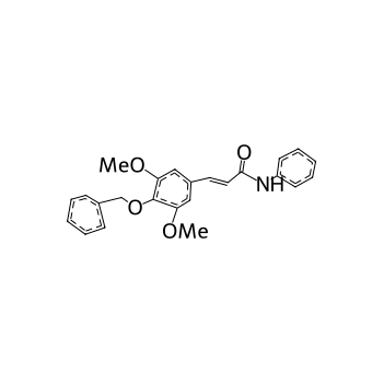 COc1cc(/C=C/C(=O)Nc2ccccc2)cc(OC)c1OCc1ccccc1